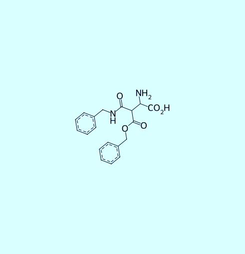 NC(C(=O)O)C(C(=O)NCc1ccccc1)C(=O)OCc1ccccc1